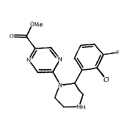 COC(=O)c1cnc(N2CCNCC2c2cccc(F)c2Cl)cn1